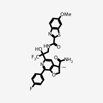 COc1ccc2nc(C(=O)NCC(O)(c3cc4c(c(-c5ccc(F)cc5)n3)OC[C@]4(C)C(N)=O)C(F)(F)F)sc2c1